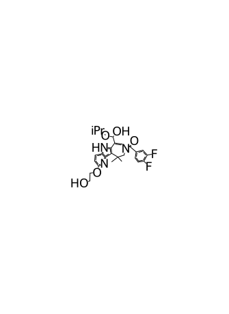 CC(C)OC(O)C1=CN(C(=O)c2ccc(F)c(F)c2)CC(C)(C)c2c1[nH]c1ccc(OCCO)nc21